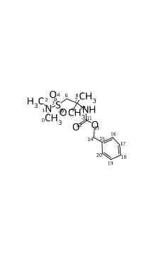 CN(C)S(=O)(=O)CC(C)(C)NC(=O)OCc1ccccc1